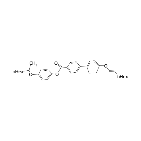 CCCCCCC=COc1ccc(-c2ccc(C(=O)Oc3ccc(OC(C)CCCCCC)cc3)cc2)cc1